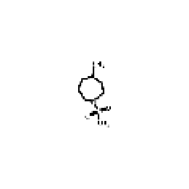 CC1CCCN(S(C)(=O)=O)CC1